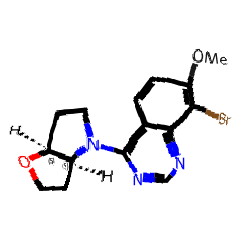 COc1ccc2c(N3CC[C@@H]4OCC[C@@H]43)ncnc2c1Br